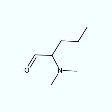 CCCC(C=O)N(C)C